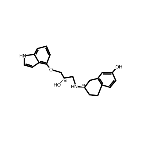 Oc1ccc2c(c1)C[C@H](NC[C@H](O)COc1cccc3[nH]ccc13)CC2